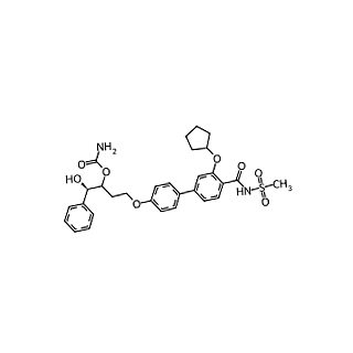 CS(=O)(=O)NC(=O)c1ccc(-c2ccc(OCCC(OC(N)=O)[C@H](O)c3ccccc3)cc2)cc1OC1CCCC1